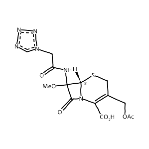 COC1(NC(=O)Cn2cnnn2)C(=O)N2C(C(=O)O)=C(COC(C)=O)CS[C@H]21